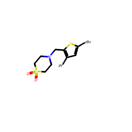 CC(C)c1cc(C(C)(C)C)sc1CN1CCS(=O)(=O)CC1